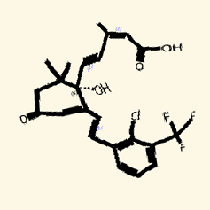 CC(=C/C(=O)O)/C=C/[C@@]1(O)C(/C=C/c2cccc(C(F)(F)F)c2Cl)=CC(=O)CC1(C)C